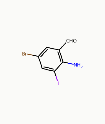 Nc1c(I)cc(Br)cc1C=O